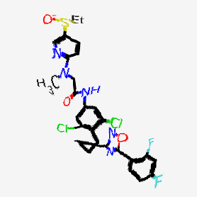 CC[S+]([O-])c1ccc(N(C)CC(=O)Nc2cc(Cl)c(C3(c4noc(-c5ccc(F)cc5F)n4)CC3)c(Cl)c2)nc1